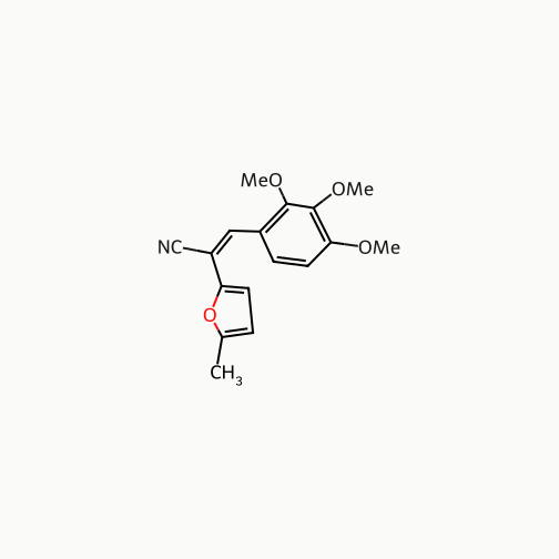 COc1ccc(/C=C(/C#N)c2ccc(C)o2)c(OC)c1OC